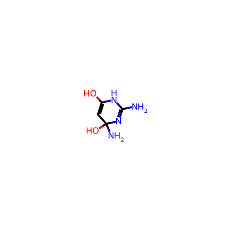 NC1=NC(N)(O)C=C(O)N1